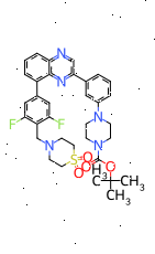 CC(C)(C)OC(=O)N1CCN(c2cccc(-c3cnc4cccc(-c5cc(F)c(CN6CCS(=O)(=O)CC6)c(F)c5)c4n3)c2)CC1